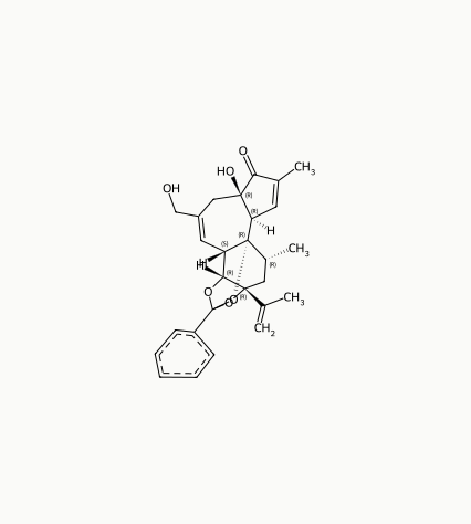 C=C(C)[C@]12C[C@@H](C)[C@@]34OC(c5ccccc5)(O[C@@H]1[C@@H]3C=C(CO)C[C@]1(O)C(=O)C(C)=C[C@@H]41)O2